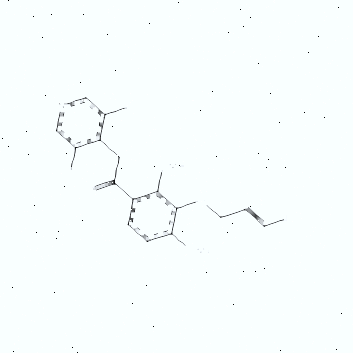 CCC=CCOc1c(OC)ccc(C(=O)Cc2c(Cl)cncc2Cl)c1OC